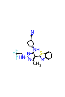 Cc1nc(NCC(F)(F)F)nc(N[C@H]2CCC(C#N)C2)c1-c1nc2ccccc2s1